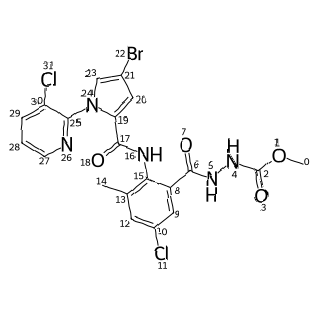 COC(=O)NNC(=O)c1cc(Cl)cc(C)c1NC(=O)c1cc(Br)cn1-c1ncccc1Cl